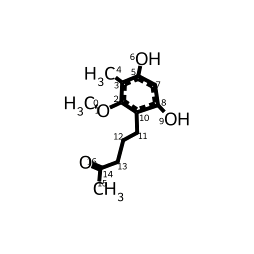 COc1c(C)c(O)cc(O)c1CCCC(C)=O